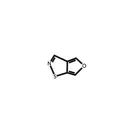 c1nsc2cocc12